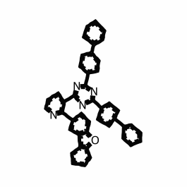 c1ccc(-c2ccc(-c3nc(-c4ccc(-c5ccccc5)cc4)nc(-c4cccnc4-c4ccc5oc6ccccc6c5c4)n3)cc2)cc1